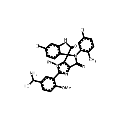 COc1ccc(C(N)O)cc1-c1nc2c(n1C(C)C)C1(C(=O)Nc3cc(Cl)ccc31)N(c1cc(Cl)ccc1C)C2=O